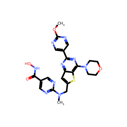 COc1ncc(-c2nc(N3CCOCC3)c3sc(CN(C)c4ncc(C(=O)NO)cn4)cc3n2)cn1